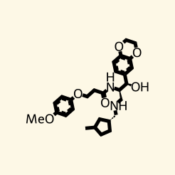 COc1ccc(OCCC(=O)N[C@H](CNC[C@@H]2CCC(C)C2)[C@H](O)c2ccc3c(c2)OCCO3)cc1